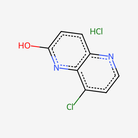 Cl.Oc1ccc2nccc(Cl)c2n1